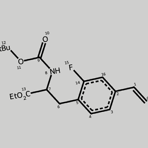 C=Cc1ccc(CC(NC(=O)OC(C)(C)C)C(=O)OCC)c(F)c1